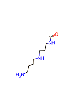 NCCCCNCCCN[C]=O